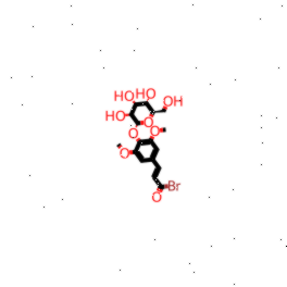 COc1cc(C=CC(=O)Br)cc(OC)c1O[C@H]1O[C@H](CO)[C@@H](O)[C@H](O)[C@@H]1O